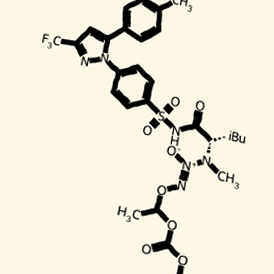 CC[C@@H](C)[C@@H](C(=O)NS(=O)(=O)c1ccc(-n2nc(C(F)(F)F)cc2-c2ccc(C)cc2)cc1)N(C)/[N+]([O-])=N/OC(C)OC(=O)OC(C)(C)C